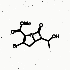 COC(=O)C1=C(Br)CC2C(C(C)O)C(=O)N12